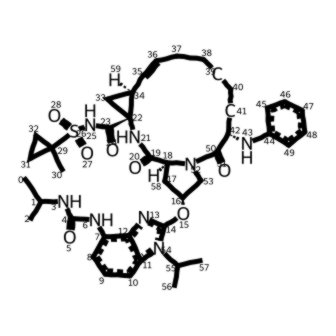 CC(C)NC(=O)Nc1cccc2c1nc(O[C@@H]1C[C@H]3C(=O)N[C@]4(C(=O)NS(=O)(=O)C5(C)CC5)C[C@H]4/C=C\CCCCC[C@H](Nc4ccccc4)C(=O)N3C1)n2C(C)C